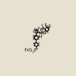 CCOC(=O)Cc1ccc(-c2ccc(-c3onc(C)c3NC(=O)OC(C)c3cccc(F)c3F)cc2)cc1